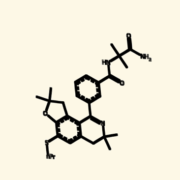 CCCSc1cc2c(c3c1OC(C)(C)C3)C(c1cccc(C(=O)NC(C)(C)C(N)=O)c1)=NC(C)(C)C2